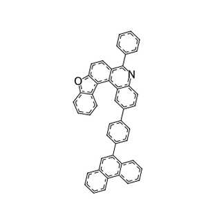 c1ccc(-c2nc3ccc(-c4ccc(-c5cc6ccccc6c6ccccc56)cc4)cc3c3c2ccc2oc4ccccc4c23)cc1